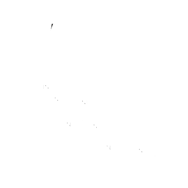 F[C@@H]1[CH]C[C@@H](c2cc(Nc3nccc4nc(CN5CCC5)cn34)n[nH]2)C1